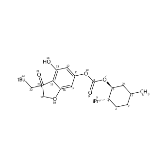 CC1CC[C@H](C(C)C)[C@@H](OC(=O)Oc2cc(O)c3c(c2)OCP3(=O)CC(C)(C)C)C1